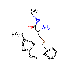 Cc1ccc(S(=O)(=O)O)cc1.N#CCNC(=O)C(N)CSCc1ccccc1